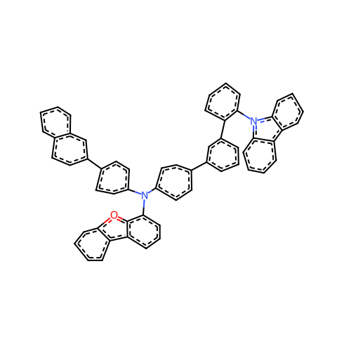 c1cc(-c2ccc(N(c3ccc(-c4ccc5ccccc5c4)cc3)c3cccc4c3oc3ccccc34)cc2)cc(-c2ccccc2-n2c3ccccc3c3ccccc32)c1